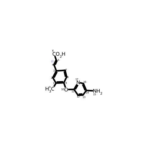 Cc1cc(/C=C/C(=O)O)ccc1Oc1ccc(N)cn1